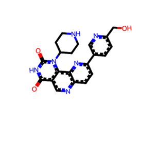 O=c1[nH]c(=O)n(C2CCNCC2)c2c1cnc1ccc(-c3ccc(CO)nc3)nc12